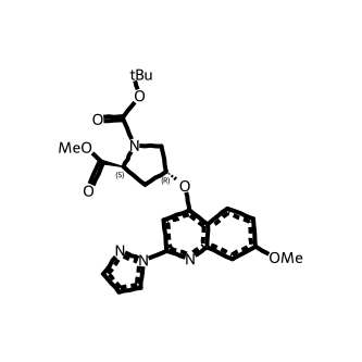 COC(=O)[C@@H]1C[C@@H](Oc2cc(-n3cccn3)nc3cc(OC)ccc23)CN1C(=O)OC(C)(C)C